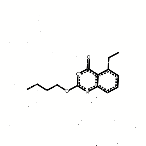 CCCCOc1nc2cccc(CC)c2c(=O)o1